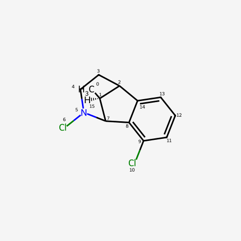 C[C@H]1C2CCN(Cl)C1c1c(Cl)cccc12